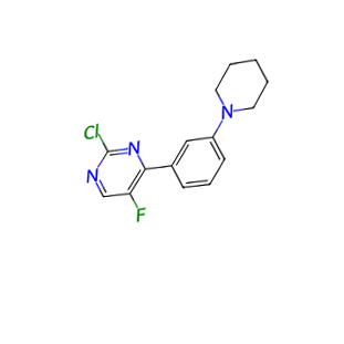 Fc1cnc(Cl)nc1-c1cccc(N2CCCCC2)c1